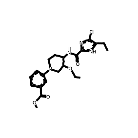 CCOC1CN(c2cccc(C(=O)OC)c2)CCC1NC(=O)c1nc(Cl)c(CC)[nH]1